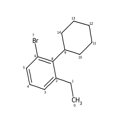 CCc1cccc(Br)c1C1CCCCC1